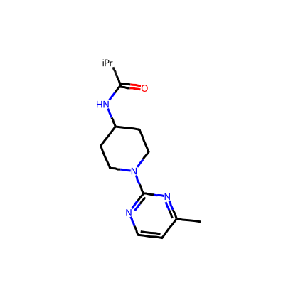 Cc1ccnc(N2CCC(NC(=O)C(C)C)CC2)n1